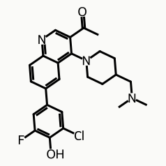 CC(=O)c1cnc2ccc(-c3cc(F)c(O)c(Cl)c3)cc2c1N1CCC(CN(C)C)CC1